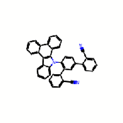 N#Cc1ccccc1-c1ccc(-n2c3ccccc3c3c4ccccc4c4ccccc4c32)c(-c2ccccc2C#N)c1